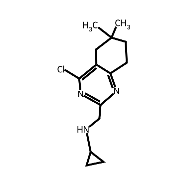 CC1(C)CCc2nc(CNC3CC3)nc(Cl)c2C1